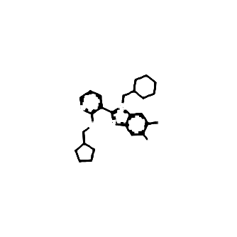 Fc1cc2nc(-c3cccnc3OCC3CCCC3)n(CC3CCCCC3)c2cc1F